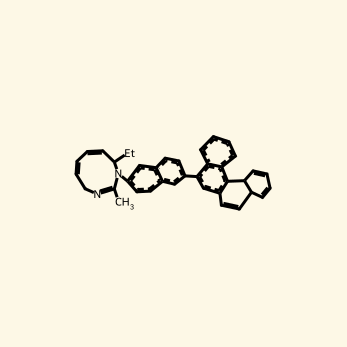 CCC1/C=C\C=C/C/N=C(/C)N1c1ccc2cc(-c3cc4c(c5ccccc35)C3C=CC=CC3C=C4)ccc2c1